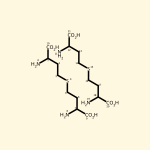 NC(CCSCCC(N)C(=O)O)C(=O)O.NC(CCSCCC(N)C(=O)O)C(=O)O